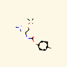 CN(C)C[C@H](CO[Si](C)(C)C)NC(=O)Oc1ccc([N+](=O)[O-])cc1